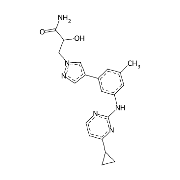 Cc1cc(Nc2nccc(C3CC3)n2)cc(-c2cnn(CC(O)C(N)=O)c2)c1